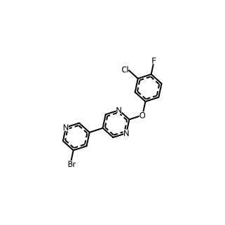 Fc1ccc(Oc2ncc(-c3cncc(Br)c3)cn2)cc1Cl